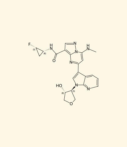 CNc1cc(-c2cn([C@H]3COC[C@@H]3O)c3ncccc23)nc2c(C(=O)N[C@@H]3C[C@@H]3F)cnn12